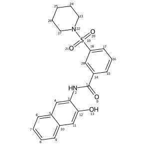 O=C(Nc1cc2ccccc2cc1O)c1cccc(S(=O)(=O)N2CCCCC2)c1